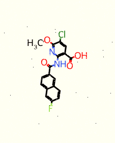 COc1nc(NC(=O)c2ccc3cc(F)ccc3c2)c(C(=O)O)cc1Cl